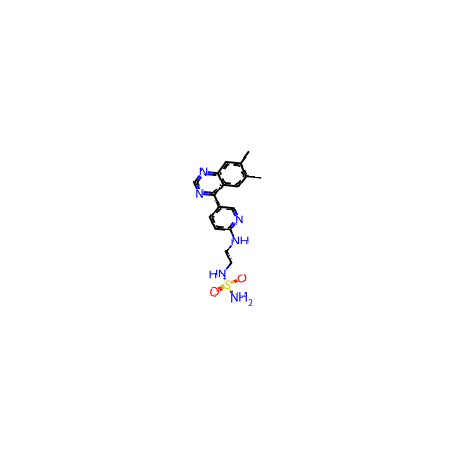 Cc1cc2ncnc(-c3ccc(NCCNS(N)(=O)=O)nc3)c2cc1C